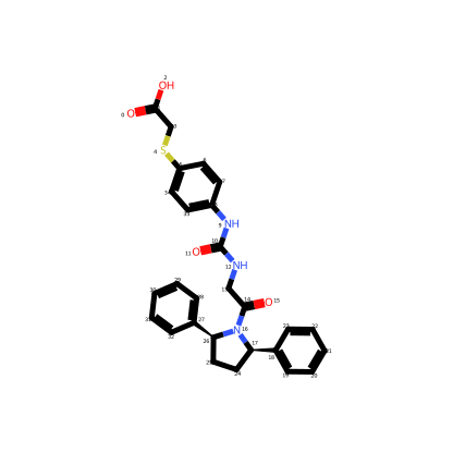 O=C(O)CSc1ccc(NC(=O)NCC(=O)N2[C@@H](c3ccccc3)CC[C@H]2c2ccccc2)cc1